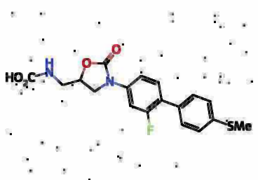 CSc1ccc(-c2ccc(N3CC(CNC(=O)O)OC3=O)cc2F)cc1